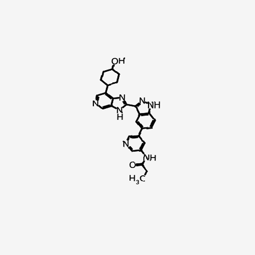 CCC(=O)Nc1cncc(-c2ccc3[nH]nc(-c4nc5c(C6CCC(O)CC6)cncc5[nH]4)c3c2)c1